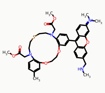 CNCc1ccc2c(-c3ccc4c(c3)OCCOc3cc(C)ccc3N(CC(=O)OC)CCSCCN4CC(=O)OC)c3ccc(=[N+](C)C)cc-3oc2c1